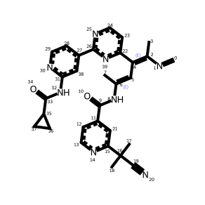 C=N/C(C)=C(\C=C(/C)NC(=O)c1ccnc(C(C)(C)C#N)c1)c1ccnc(-c2ccnc(NC(=O)C3CC3)c2)n1